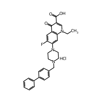 CCn1cc(C(=O)O)c(=O)c2cc(F)c(N3CCN(Cc4ccc(-c5ccccc5)cc4)CC3)cc21.Cl